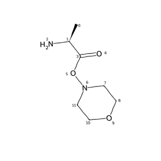 C[C@H](N)C(=O)ON1CCOCC1